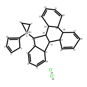 C1=CC[C]([Zr+2]2([CH]3C4C=CC=CC4C4C5C=CC=CC5C5C=CC=CC5C43)[CH2][CH2]2)=C1.[Cl-].[Cl-]